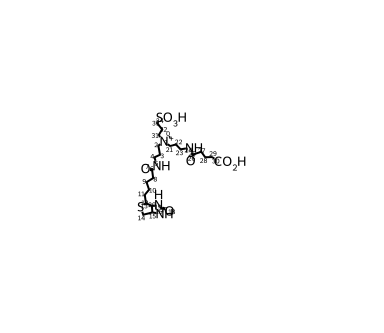 C[N+](CCCNC(=O)CCCCC1SCC2NC(=O)NC21)(CCCNC(=O)CCCC(=O)O)CCCS(=O)(=O)O